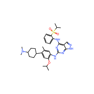 Cc1cc(Nc2nc(Nc3ccccc3S(=O)(=O)C(C)C)c3cn[nH]c3n2)c(OC(C)C)cc1C1CCC(N(C)C)CC1